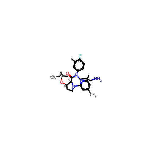 Cc1cc(C(F)(F)F)cc(N2CC[C@@H](O[Si](C)(C)C(C)(C)C)[C@H]2C(=O)N(CCCN)c2ccc(F)c(C)c2)n1